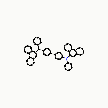 c1ccc(C(c2ccc(-c3ccc(N(c4ccccc4)c4cc5ccccc5c5ccccc45)cc3)cc2)c2cc3ccccc3c3ccccc23)cc1